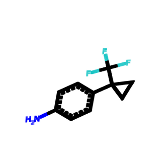 Nc1ccc(C2(C(F)(F)F)CC2)cc1